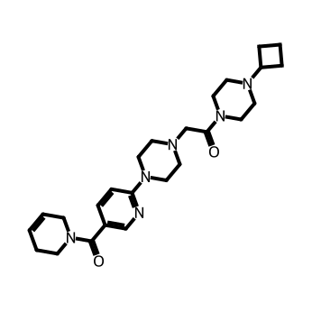 O=C(CN1CCN(c2ccc(C(=O)N3CC=CCC3)cn2)CC1)N1CCN(C2CCC2)CC1